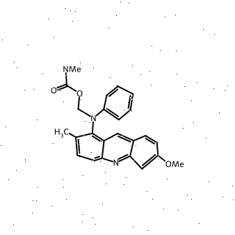 CNC(=O)OCN(c1ccccc1)c1c(C)ccc2nc3cc(OC)ccc3cc12